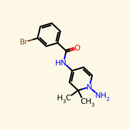 CC1(C)C=C(NC(=O)c2cccc(Br)c2)C=CN1N